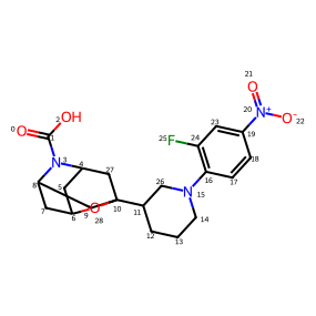 O=C(O)N1C2CC3CC1CC(C1CCCN(c4ccc([N+](=O)[O-])cc4F)C1)(C2)O3